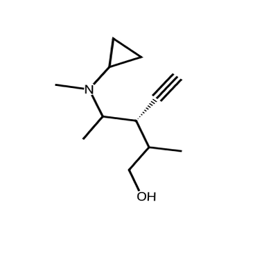 C#C[C@H](C(C)CO)C(C)N(C)C1CC1